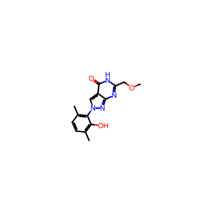 COCc1nc2nn(-c3c(C)ccc(C)c3O)cc2c(=O)[nH]1